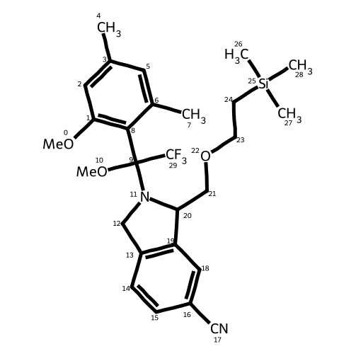 COc1cc(C)cc(C)c1C(OC)(N1Cc2ccc(C#N)cc2C1COCC[Si](C)(C)C)C(F)(F)F